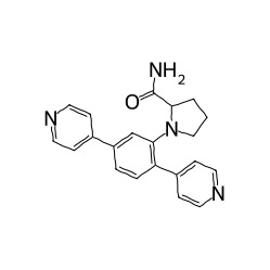 NC(=O)C1CCCN1c1cc(-c2ccncc2)ccc1-c1ccncc1